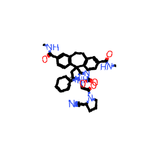 CNC(=O)c1ccc2c(c1)CCc1cc(C(=O)NC)ccc1C2(C[C@@H](C)NCC(=O)N1CCCC1C#N)c1nc(=O)on1C1CCCCC1